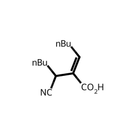 CCCC/C=C(/C(=O)O)C(C#N)CCCC